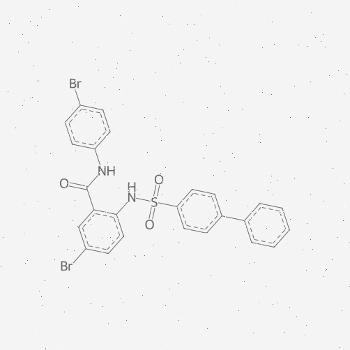 O=C(Nc1ccc(Br)cc1)c1cc(Br)ccc1NS(=O)(=O)c1ccc(-c2ccccc2)cc1